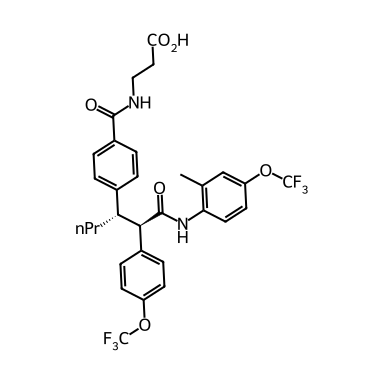 CCC[C@H](c1ccc(C(=O)NCCC(=O)O)cc1)[C@@H](C(=O)Nc1ccc(OC(F)(F)F)cc1C)c1ccc(OC(F)(F)F)cc1